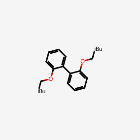 CCC(C)COc1ccccc1-c1ccccc1OCC(C)CC